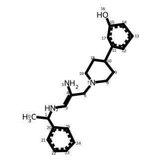 CC(N/C=C(\N)CN1CCC(c2cccc(O)c2)CC1)c1ccccc1